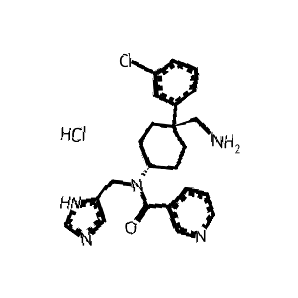 Cl.NC[C@]1(c2cccc(Cl)c2)CC[C@@H](N(Cc2cnc[nH]2)C(=O)c2cccnc2)CC1